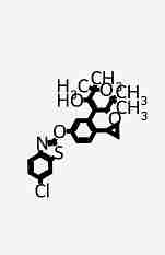 CC1(C)OC(C)(C)C(O)=C(c2cc(Oc3nc4ccc(Cl)cc4s3)ccc2C2CC2)C1=O